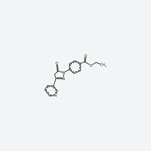 CCOC(=O)c1ccc(N2N=C(c3cccnc3)CC2=O)cc1